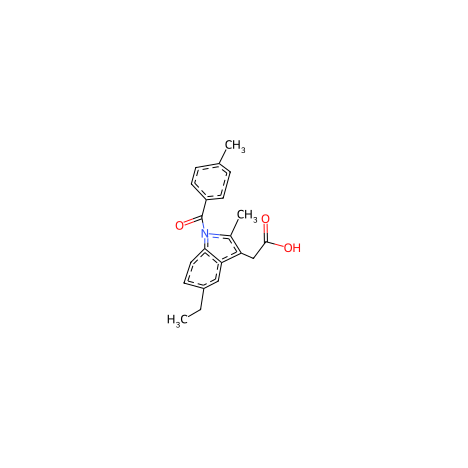 CCc1ccc2c(c1)c(CC(=O)O)c(C)n2C(=O)c1ccc(C)cc1